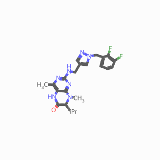 Cc1nc(NCc2cnn(Cc3cccc(F)c3F)c2)nc2c1NC(=O)C(C(C)C)N2C